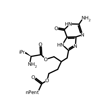 CCCCCC(=O)OCCC(COC(=O)[C@@H](N)C(C)C)Cc1nc2nc(N)[nH]c(=O)c2[nH]1